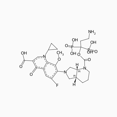 COc1c(N2C[C@H]3CCCN(C(=O)OC(CCN)(P(=O)(O)O)P(=O)(O)O)[C@H]3C2)c(F)cc2c(=O)c(C(=O)O)cn(C3CC3)c12